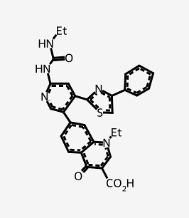 CCNC(=O)Nc1cc(-c2nc(-c3ccccc3)cs2)c(-c2ccc3c(=O)c(C(=O)O)cn(CC)c3c2)cn1